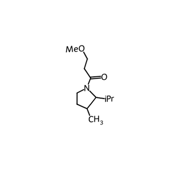 COCCC(=O)N1CCC(C)C1C(C)C